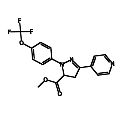 COC(=O)C1CC(c2ccncc2)=NN1c1ccc(OC(F)(F)F)cc1